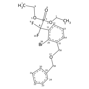 CCOP(=O)(OCC)C(F)(F)c1cccc(COCc2ccccc2)c1Br